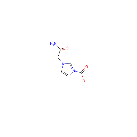 NC(=O)Cn1cc[n+](C(=O)[O-])c1